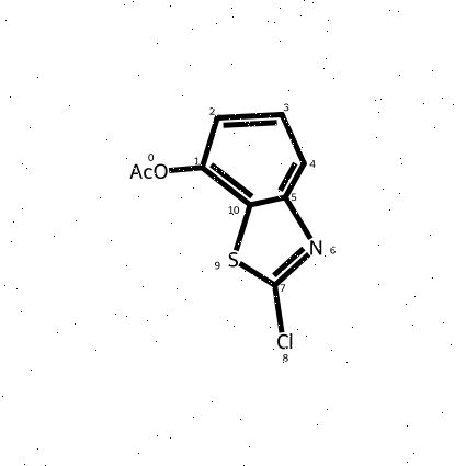 CC(=O)Oc1cccc2nc(Cl)sc12